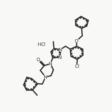 Cc1ccccc1CN1CCN(c2cc(C)n(Cc3cc(Cl)ccc3OCc3ccccc3)n2)C(=O)C1.Cl